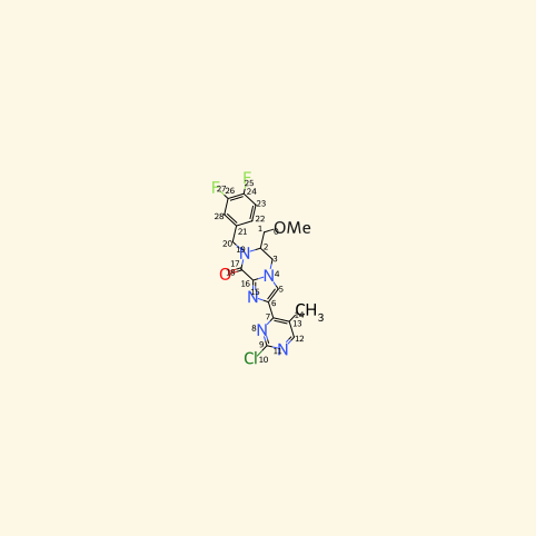 COCC1Cn2cc(-c3nc(Cl)ncc3C)nc2C(=O)N1Cc1ccc(F)c(F)c1